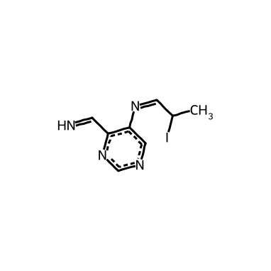 CC(I)/C=N\c1cncnc1C=N